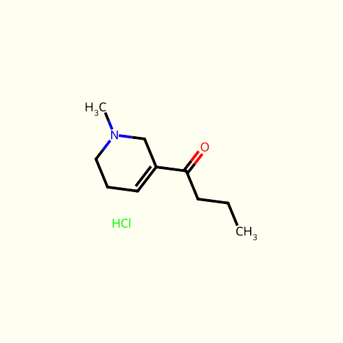 CCCC(=O)C1=CCCN(C)C1.Cl